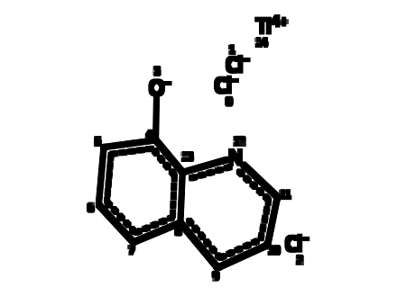 [Cl-].[Cl-].[Cl-].[O-]c1cccc2cccnc12.[Ti+4]